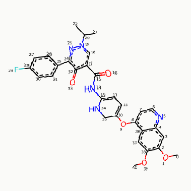 COc1cc2nccc(OC3=CC=C(NC(=O)c4cn(C(C)C)nc(-c5ccc(F)cc5)c4=O)NC3)c2cc1OC